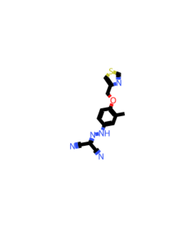 Cc1cc(NN=C(C#N)C#N)ccc1OCc1cscn1